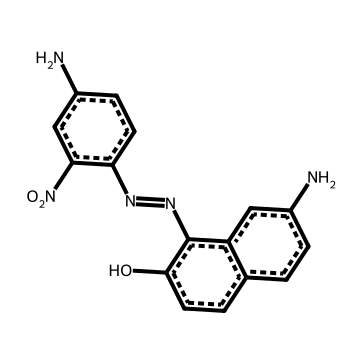 Nc1ccc(/N=N/c2c(O)ccc3ccc(N)cc23)c([N+](=O)[O-])c1